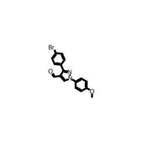 COc1ccc(-n2cc(C=O)c(-c3ccc(Br)cc3)n2)cc1